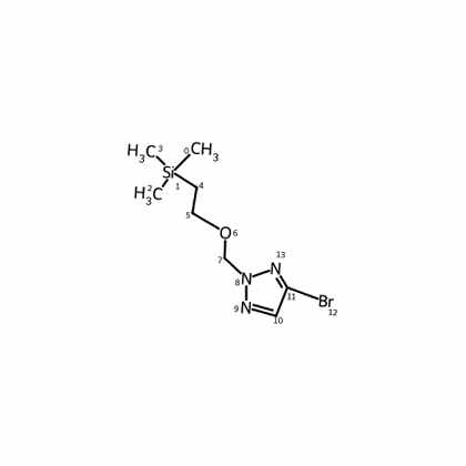 C[Si](C)(C)CCOCn1ncc(Br)n1